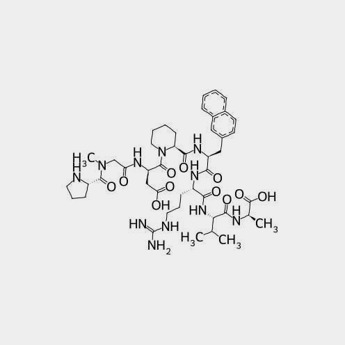 CC(C)[C@H](NC(=O)[C@H](CCCNC(=N)N)NC(=O)[C@H](Cc1ccc2ccccc2c1)NC(=O)[C@@H]1CCCCN1C(=O)[C@@H](CC(=O)O)NC(=O)CN(C)C(=O)[C@@H]1CCCN1)C(=O)N[C@H](C)C(=O)O